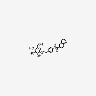 O=C(Nc1ccc(CCO[C@@H]2O[C@H](CO)[C@@H](O)[C@H](O)[C@H]2O)cc1)c1ccc2ccccc2c1